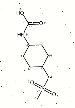 CS(=O)(=O)CC1CCC(NC(=O)O)CC1